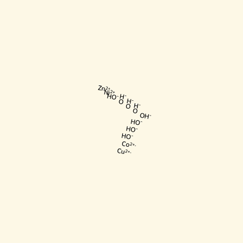 [Co+2].[Cu+2].[Ni+2].[OH-].[OH-].[OH-].[OH-].[OH-].[OH-].[OH-].[OH-].[Zn+2]